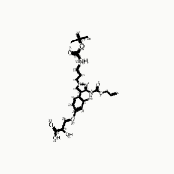 C=CCOC(=O)Nc1nn(CCCNC(=O)OC(C)(C)C)cc1-c1ccc(OCC(O)C(=O)O)cc1F